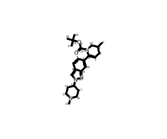 CC1CC=C(c2ccc3cn(C4CCN(C)CC4)nc3c2)N(C(=O)OC(C)(C)C)C1